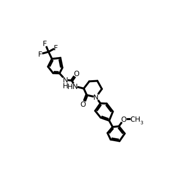 COc1ccccc1-c1ccc(N2CCCC(NC(=O)Nc3ccc(C(F)(F)F)cc3)C2=O)cc1